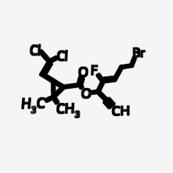 C#CC(OC(=O)C1C(C=C(Cl)Cl)C1(C)C)C(F)=CCCBr